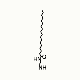 CCCCCCCCCCCCCCCCCC(=O)NCCNC